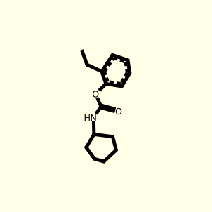 CCc1ccccc1OC(=O)NC1CCCCC1